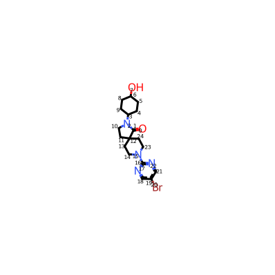 O=C1N(C2CCC(O)CC2)CCC12CCN(c1ncc(Br)cn1)CC2